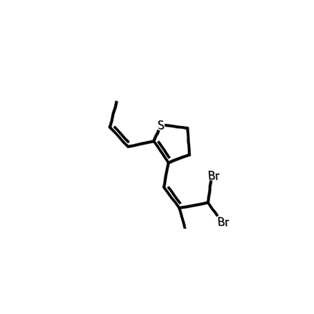 C/C=C\C1=C(/C=C(/C)C(Br)Br)CCS1